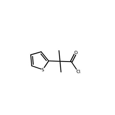 CC(C)(C(=O)Cl)c1cccs1